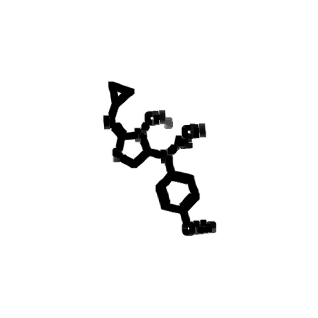 COc1ccc(N(C(C)=O)C2CSC(=NC3CC3)N2C)cc1.Cl